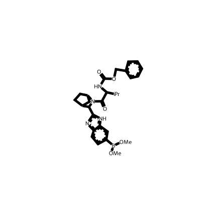 COB(OC)c1ccc2nc(C3C4CCC(C4)N3C(=O)C(NC(=O)OCc3ccccc3)C(C)C)[nH]c2c1